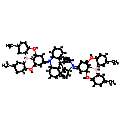 Cc1ccc2c(c1)B1c3cc(C)ccc3Oc3cc(N4c5ccccc5[Si]5(c6ccccc64)c4ccccc4N(c4cc6c7c(c4)Oc4ccc(C)cc4B7c4cc(C)ccc4O6)c4ccccc45)cc(c31)O2